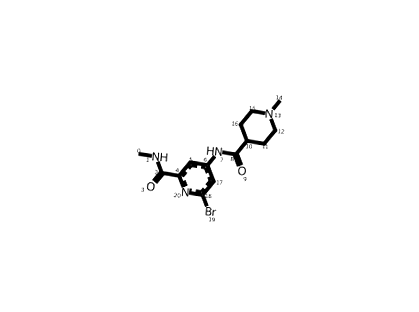 CNC(=O)c1cc(NC(=O)C2CCN(C)CC2)cc(Br)n1